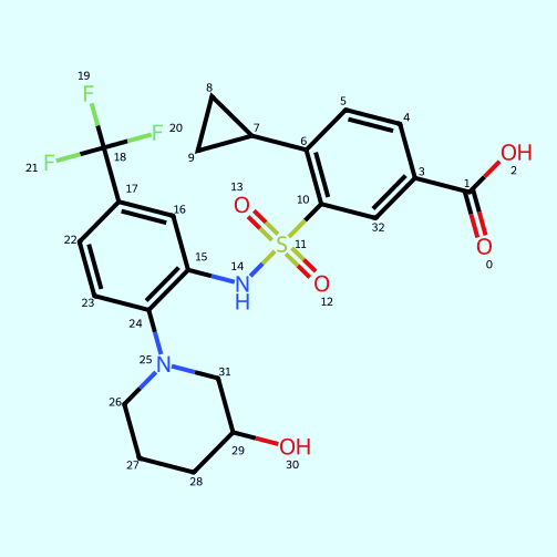 O=C(O)c1ccc(C2CC2)c(S(=O)(=O)Nc2cc(C(F)(F)F)ccc2N2CCCC(O)C2)c1